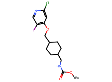 CC(C)(C)OC(=O)NCC1CCC(COc2cc(Cl)ncc2I)CC1